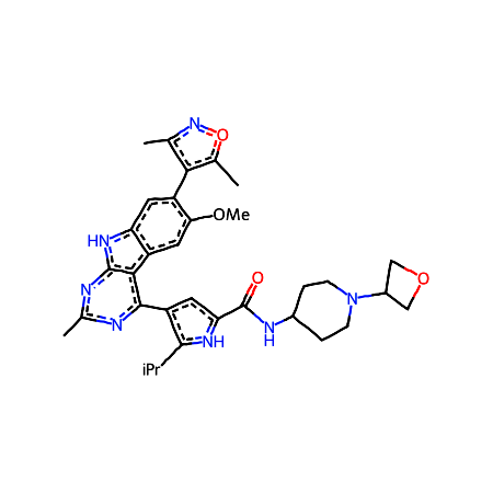 COc1cc2c(cc1-c1c(C)noc1C)[nH]c1nc(C)nc(-c3cc(C(=O)NC4CCN(C5COC5)CC4)[nH]c3C(C)C)c12